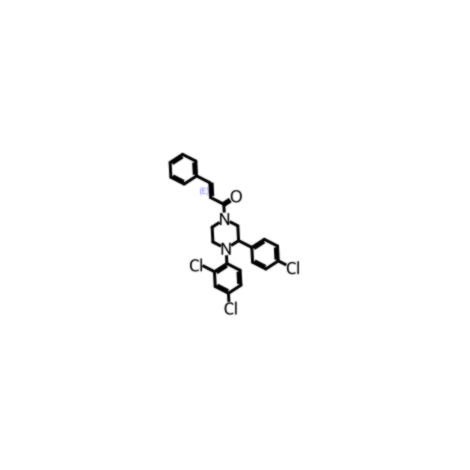 O=C(/C=C/c1ccccc1)N1CCN(c2ccc(Cl)cc2Cl)C(c2ccc(Cl)cc2)C1